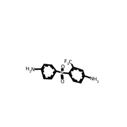 Nc1ccc(S(=O)(=O)c2ccc(N)cc2C(F)(F)F)cc1